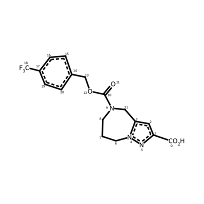 O=C(O)c1cc2n(n1)CCCN(C(=O)OCc1ccc(C(F)(F)F)cc1)C2